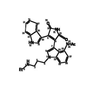 CCNCCCn1cc(C2=C(c3c[nH]c4ccccc34)C(=O)NC2=O)c2c(NC(C)=O)cccc21